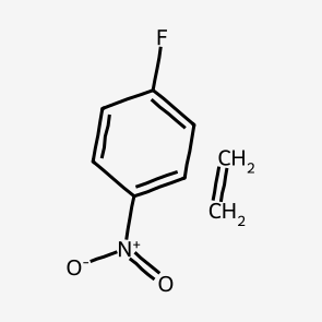 C=C.O=[N+]([O-])c1ccc(F)cc1